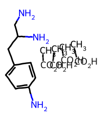 CC(=O)O.CC(=O)O.CC(=O)O.CC(=O)O.NCC(N)Cc1ccc(N)cc1